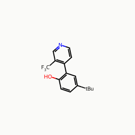 CC(C)(C)c1ccc(O)c(-c2ccncc2C(F)(F)F)c1